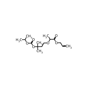 C=CCOC(=O)C(C)OCCC(C)(C)OC(=O)OC(C)C